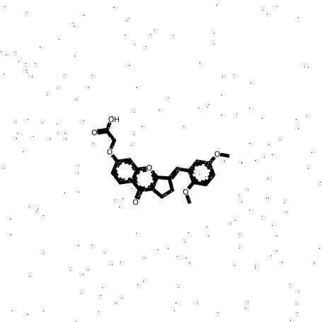 COc1ccc(OC)c(C=C2CCc3c2oc2cc(OCC(=O)O)ccc2c3=O)c1